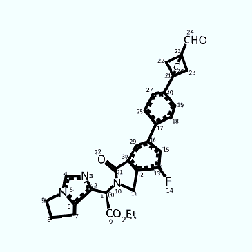 CCOC(=O)[C@@H](c1ncn2c1CCC2)N1Cc2c(F)cc(-c3ccc(C45CC(C=O)(C4)C5)cc3)cc2C1=O